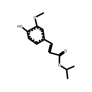 COc1cc(C=CC(=O)OC(C)C)ccc1O